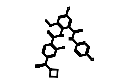 COc1cc(Cl)cc(C(=O)Nc2ccc(Cl)cn2)c1NC(=O)c1ccc(C(=N)N2CCC2)cc1Cl